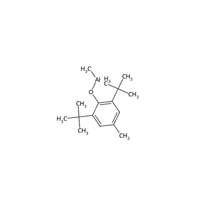 [CH3][Al][O]c1c(C(C)(C)C)cc(C)cc1C(C)(C)C